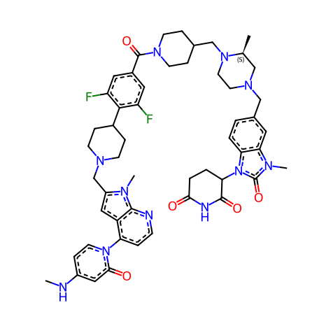 CNc1ccn(-c2ccnc3c2cc(CN2CCC(c4c(F)cc(C(=O)N5CCC(CN6CCN(Cc7ccc8c(c7)n(C)c(=O)n8C7CCC(=O)NC7=O)C[C@@H]6C)CC5)cc4F)CC2)n3C)c(=O)c1